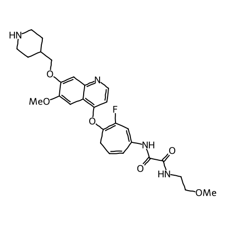 COCCNC(=O)C(=O)NC1=CC(F)=C(Oc2ccnc3cc(OCC4CCNCC4)c(OC)cc23)CC=C1